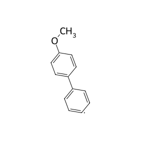 COc1ccc(-c2cc[c]cc2)cc1